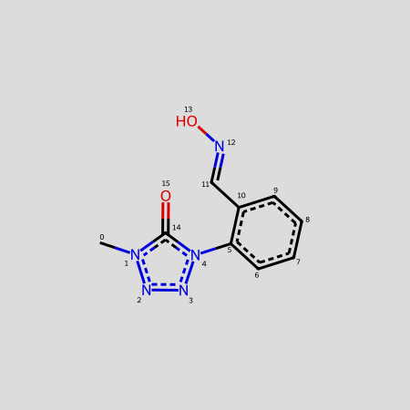 Cn1nnn(-c2ccccc2C=NO)c1=O